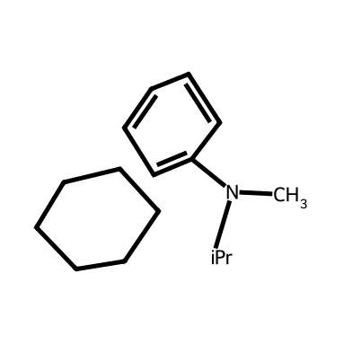 C1CCCCC1.CC(C)N(C)c1ccccc1